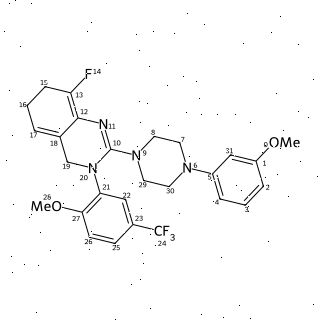 COc1cccc(N2CCN(C3=NC4=C(F)CCC=C4CN3c3cc(C(F)(F)F)ccc3OC)CC2)c1